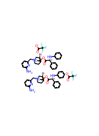 Nc1cccc(C[N+]23CCC(CC2)[C@@H](OC(=O)[C@H](Nc2ccccc2)c2ccccc2)C3)n1.Nc1cccc(C[N+]23CCC(CC2)[C@@H](OC(=O)[C@H](Nc2ccccc2)c2ccccc2)C3)n1.O=C([O-])C(F)(F)F.O=C([O-])C(F)(F)F